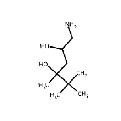 CC(C)(C)C(C)(O)CC(O)CN